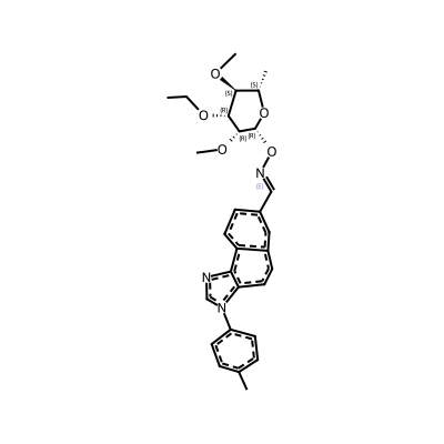 CCO[C@@H]1[C@@H](OC)[C@H](C)O[C@H](O/N=C/c2ccc3c(ccc4c3ncn4-c3ccc(C)cc3)c2)[C@@H]1OC